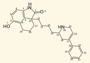 O=C1Nc2ccc(O)c3c2C1(CCCCC1CC(c2ccccc2)=CCN1)CCC3